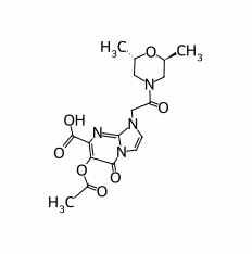 CC(=O)Oc1c(C(=O)O)nc2n(CC(=O)N3C[C@H](C)O[C@@H](C)C3)ccn2c1=O